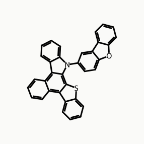 c1ccc2c(c1)oc1ccc(-n3c4ccccc4c4c5ccccc5c5c6ccccc6sc5c43)cc12